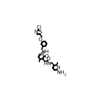 Cc1ccn(NCc2cccc(OCc3cnc(Cl)s3)c2)c(=O)c1CC(=O)NCc1ccc(N)nc1C